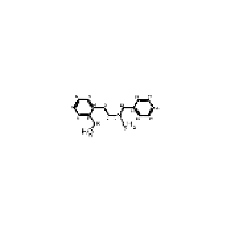 CN(CCc1ccccc1CO)Cc1ccccc1